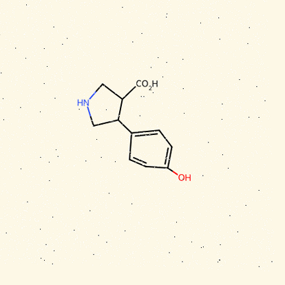 O=C(O)C1CNCC1c1ccc(O)cc1